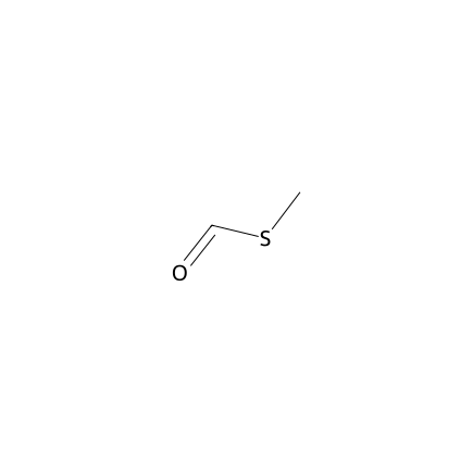 CSC=O